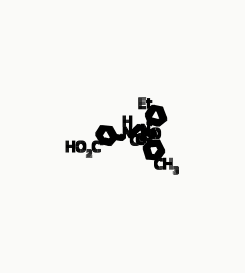 CCc1cccc(N(CC(=O)NCc2cccc(C(=O)O)c2)S(=O)(=O)c2ccc(C)cc2)c1